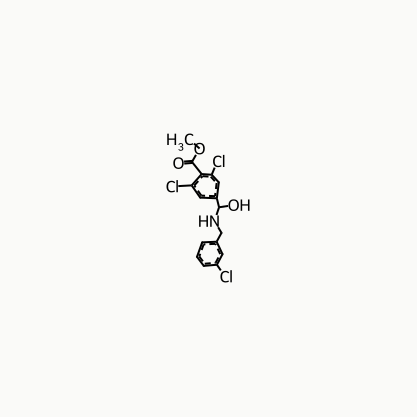 COC(=O)c1c(Cl)cc(C(O)NCc2cccc(Cl)c2)cc1Cl